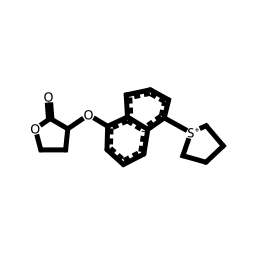 O=C1OCCC1Oc1cccc2c([S+]3CCCC3)cccc12